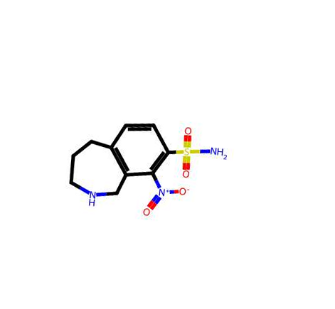 NS(=O)(=O)c1ccc2c(c1[N+](=O)[O-])CNCCC2